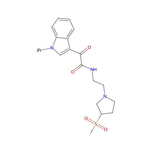 CC(C)n1cc(C(=O)C(=O)NCCN2CCC(S(C)(=O)=O)C2)c2ccccc21